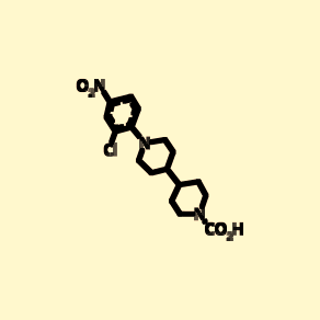 O=C(O)N1CCC(C2CCN(c3ccc([N+](=O)[O-])cc3Cl)CC2)CC1